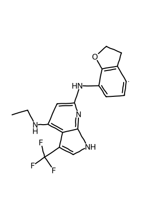 CCNc1cc(Nc2cc[c]c3c2OCC3)nc2[nH]cc(C(F)(F)F)c12